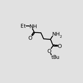 CCNC(=O)CCC(N)C(=O)OC(C)(C)C